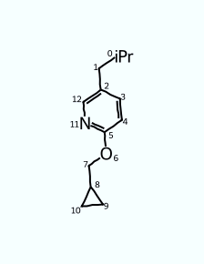 CC(C)Cc1ccc(OCC2CC2)nc1